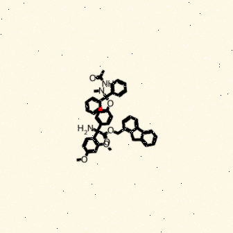 COc1ccc(C(N)(C(=O)OCc2cccc3c2Cc2ccccc2-3)c2ccc(OC(c3ccccc3)(c3ccccc3)N(C)NC(C)=O)cc2)c(OC)c1